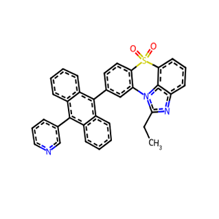 CCc1nc2cccc3c2n1-c1cc(-c2c4ccccc4c(-c4cccnc4)c4ccccc24)ccc1S3(=O)=O